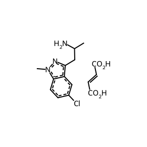 CC(N)Cc1nn(C)c2ccc(Cl)cc12.O=C(O)C=CC(=O)O